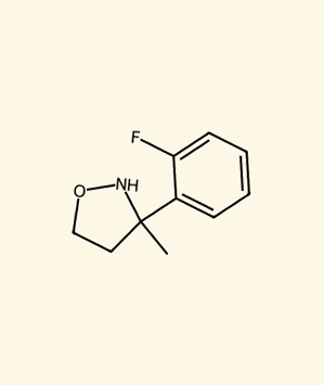 CC1(c2ccccc2F)CCON1